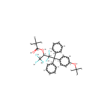 CC(C)(C)Oc1ccc(C(c2ccccc2)(c2ccccc2)C(F)(F)C(OC(=O)C(C)(C)C)C(F)(F)F)cc1